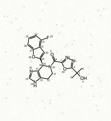 CC(C)(O)c1nnc(C(=O)N2CCc3[nH]cnc3[C@H]2c2cc3c(F)cccc3o2)o1